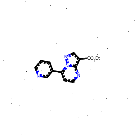 CCOC(=O)c1cnn2c(-c3cccnc3)ccnc12